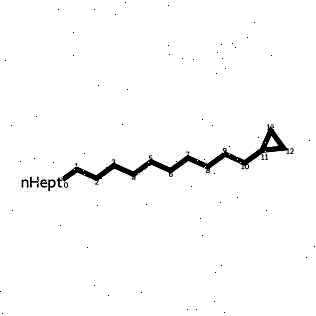 CCCCCCCC[CH]CCCCCCCCC1CC1